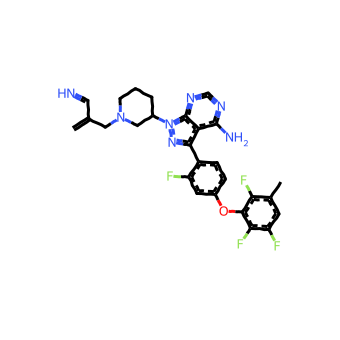 C=C(C=N)CN1CCCC(n2nc(-c3ccc(Oc4c(F)c(C)cc(F)c4F)cc3F)c3c(N)ncnc32)C1